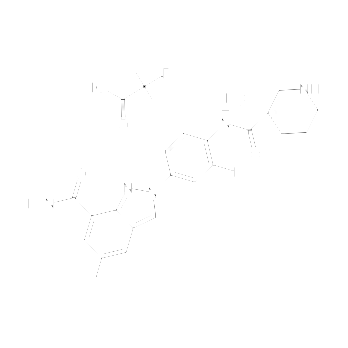 C[C@@]1(C(=O)Nc2ccc(-n3cc4cc(F)cc(C(N)=O)c4n3)cc2F)CCCNC1.O=C(O)C(F)(F)F